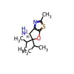 Cc1nc2c(s1)OC(C(C)C)(C(C)C)[C@@H]2N